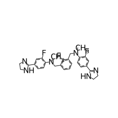 CN(Cc1cccc(CN(C)c2ccc(C3=NCCN3)cc2F)c1F)c1ccc(C2=NCCN2)cc1F